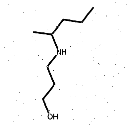 CCCC(C)NCCCO